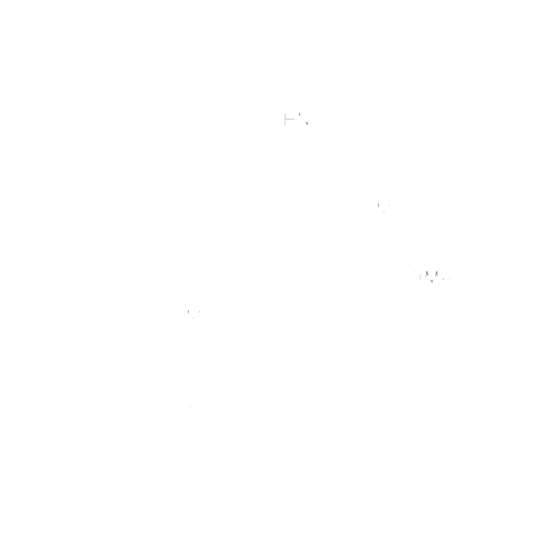 COC(=O)c1ccc(COc2ccccc2C(F)(F)F)cc1C1C=CNCC1